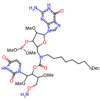 CCCCCCCCCCCCCCCCCN(CC1OC(n2cnc3c(=O)[nH]c(N)nc32)C(OC)C1OP(OC)OC)C(=O)OC(C(CON)OC)C(OC)n1ccc(=O)[nH]c1=O